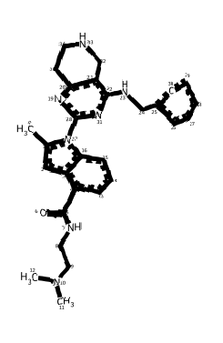 Cc1cc2c(C(=O)NCCN(C)C)cccc2n1-c1nc2c(c(NCc3ccccc3)n1)CNCC2